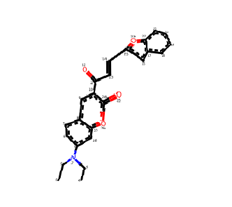 CCN(CC)c1ccc2cc(C(=O)C=Cc3cc4ccccc4o3)c(=O)oc2c1